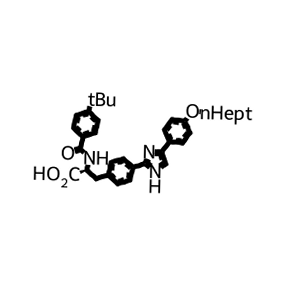 CCCCCCCOc1ccc(-c2c[nH]c(-c3ccc(C[C@H](NC(=O)c4ccc(C(C)(C)C)cc4)C(=O)O)cc3)n2)cc1